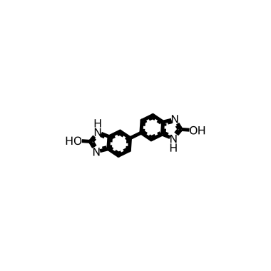 Oc1nc2ccc(-c3ccc4nc(O)[nH]c4c3)cc2[nH]1